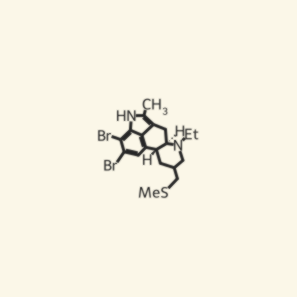 CCN1CC(CSC)C[C@@H]2c3cc(Br)c(Br)c4[nH]c(C)c(c34)C[C@H]21